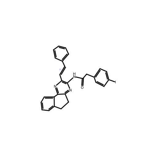 O=C(Cc1ccc(I)cc1)Nc1nc2c(nc1/C=C/c1ccccc1)-c1ccccc1CC2